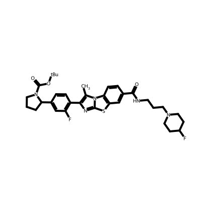 Cc1c(-c2ccc(C3CCCN3C(=O)OC(C)(C)C)cc2F)nc2sc3cc(C(=O)NCCCN4CCC(F)CC4)ccc3n12